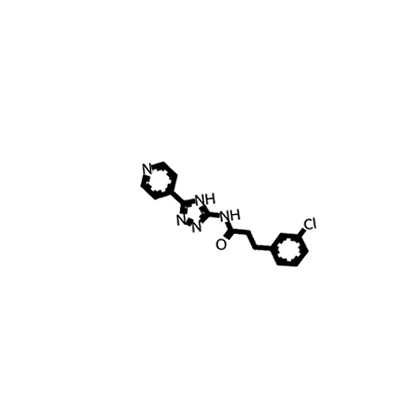 O=C(CCc1cccc(Cl)c1)Nc1nnc(-c2ccncc2)[nH]1